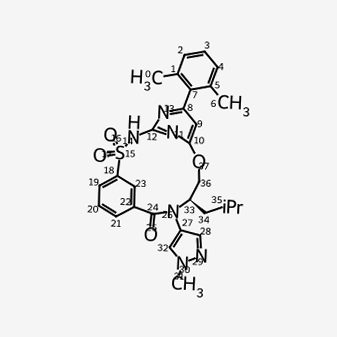 Cc1cccc(C)c1-c1cc2nc(n1)NS(=O)(=O)c1cccc(c1)C(=O)N(c1cnn(C)c1)[C@H](CC(C)C)CO2